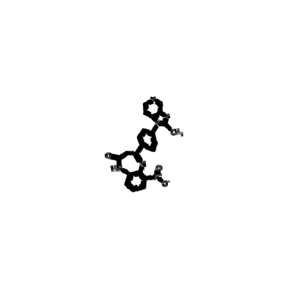 Cc1nc2cnccc2n1-c1ccc(C2=Nc3c(cccc3[N+](=O)[O-])NC(=O)C2)cc1